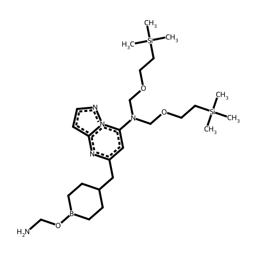 C[Si](C)(C)CCOCN(COCC[Si](C)(C)C)c1cc(CC2CCB(OCN)CC2)nc2ccnn12